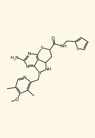 COc1c(C)cnc(CN2NC3CC(C(=O)NCc4cccs4)Sc4nc(N)nc2c43)c1C